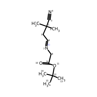 CC(C)(C#N)C/C=N/CC(=O)OC(C)(C)C